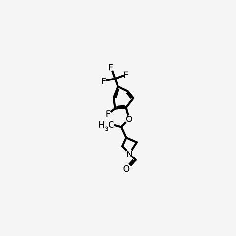 CC(Oc1ccc(C(F)(F)F)cc1F)C1CN(C=O)C1